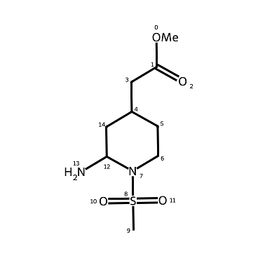 COC(=O)CC1CCN(S(C)(=O)=O)C(N)C1